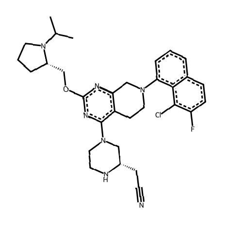 CC(C)N1CCC[C@H]1COc1nc2c(c(N3CCN[C@@H](CC#N)C3)n1)CCN(c1cccc3ccc(F)c(Cl)c13)C2